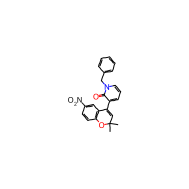 CC1(C)C=C(c2cccn(Cc3ccccc3)c2=O)c2cc([N+](=O)[O-])ccc2O1